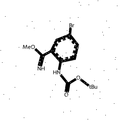 COC(=N)c1cc(Br)ccc1NC(=O)OC(C)(C)C